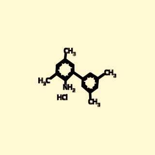 Cc1cc(C)cc(-c2cc(C)cc(C)c2N)c1.Cl